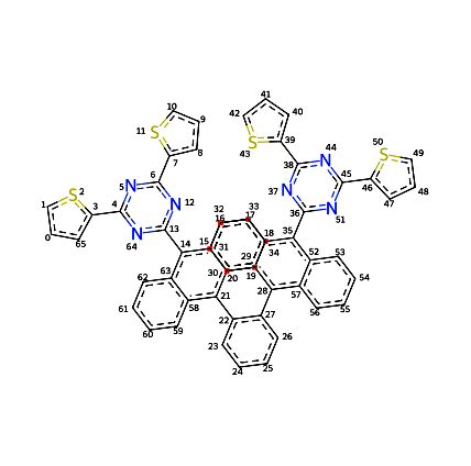 c1csc(-c2nc(-c3cccs3)nc(-c3c4ccccc4c(-c4ccccc4-c4c5ccccc5c(-c5nc(-c6cccs6)nc(-c6cccs6)n5)c5ccccc45)c4ccccc34)n2)c1